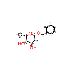 C[C@H]1O[C@H](OCc2ccccc2)C[C@@H](O)[C@@H]1O